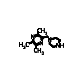 Cc1nc(C)c(CN2CCNCC2)nc1C